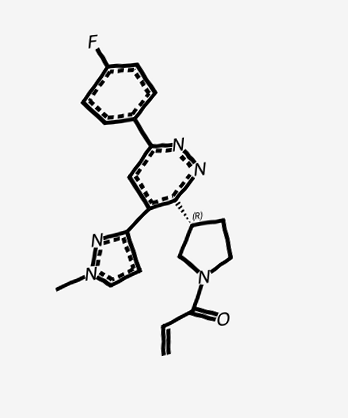 C=CC(=O)N1CC[C@@H](c2nnc(-c3ccc(F)cc3)cc2-c2ccn(C)n2)C1